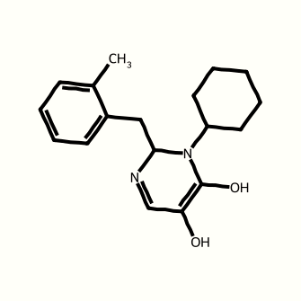 Cc1ccccc1CC1N=CC(O)=C(O)N1C1CCCCC1